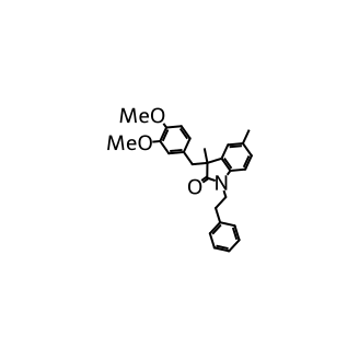 COc1ccc(CC2(C)C(=O)N(CCc3ccccc3)c3ccc(C)cc32)cc1OC